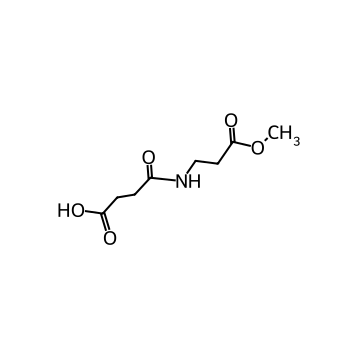 COC(=O)CCNC(=O)CCC(=O)O